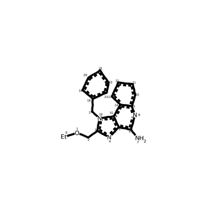 CCOCc1nc2c(N)nc3ccccc3c2n1Cc1ccccc1